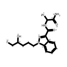 CC(C)C(NC(=O)c1nn(CCCC(O)CF)c2ccccc12)C(N)=O